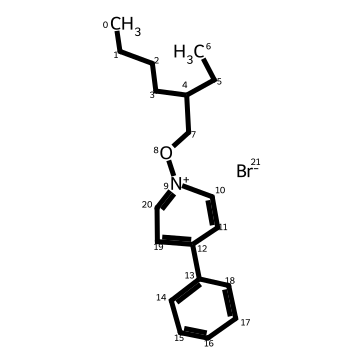 CCCCC(CC)CO[n+]1ccc(-c2ccccc2)cc1.[Br-]